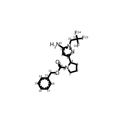 Nc1cc(C2CCCN2C(=O)OCc2ccccc2)nn1CC(F)(F)F